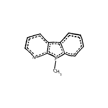 Cp1c2ccccc2c2cccnc21